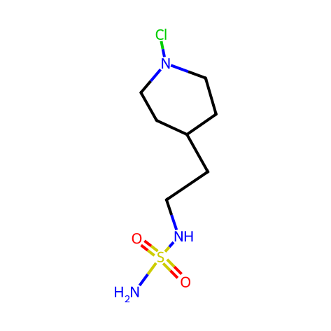 NS(=O)(=O)NCCC1CCN(Cl)CC1